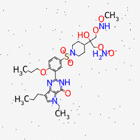 CCCOc1ccc(S(=O)(=O)N2CCC(C(O)(CONOC)CO[NH2+][O-])CC2)cc1-c1nc2c(CCC)cn(CC)c2c(=O)[nH]1